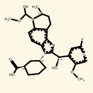 COc1ccc(F)cc1[C@@H](O)c1nc2c3c(ccc2n1[C@@H]1CCC[C@@H](C(=O)O)C1)N(C(O)OC)[C@@H](C)CC3